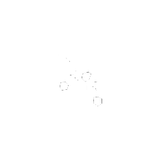 CC1(CCN2CCOCC2)C(=O)N(Cc2cc(F)cc(F)c2)c2cc(C(=O)NCc3c(F)cc(F)cc3F)ccc21